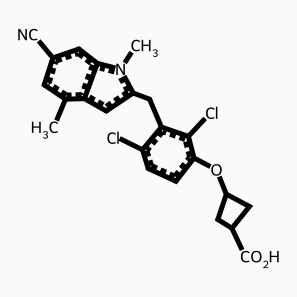 Cc1cc(C#N)cc2c1cc(Cc1c(Cl)ccc(OC3CC(C(=O)O)C3)c1Cl)n2C